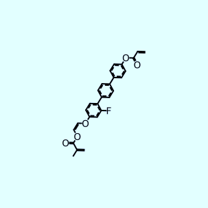 C=CC(=O)Oc1ccc(-c2ccc(-c3ccc(O/C=C\OC(=O)C(=C)C)cc3F)cc2)cc1